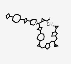 C[C@H](I)C1CC1C(C1CC(C2CCCC(C3CC3CC3CCC(CC(CC4CCC(C5CC5)C4)C4=CC4)C3)CC2)C1)N1CC=C(C2CC(C3CCCC(C4CCC4)CCC3)C2)CC1